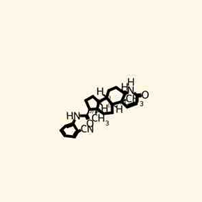 C[C@]12C=CC(=O)N[C@@H]1CC[C@@H]1[C@@H]2CC[C@]2(C)[C@@H](C(=O)Nc3ccccc3C#N)CC[C@@H]12